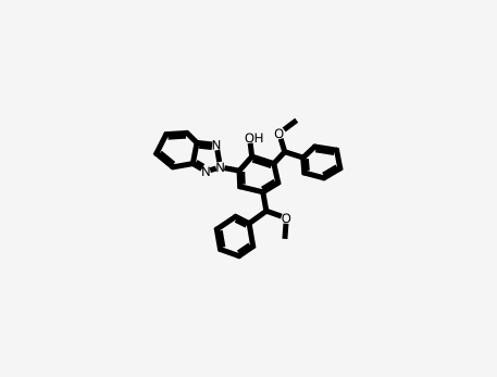 COC(c1ccccc1)c1cc(C(OC)c2ccccc2)c(O)c(-n2nc3ccccc3n2)c1